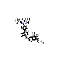 C=C/C=C(\NC(=C)C)c1ccc(N2CCN(Cc3cnc4cc(CC)c(=O)[nH]c4c3)C3CCC32)cn1